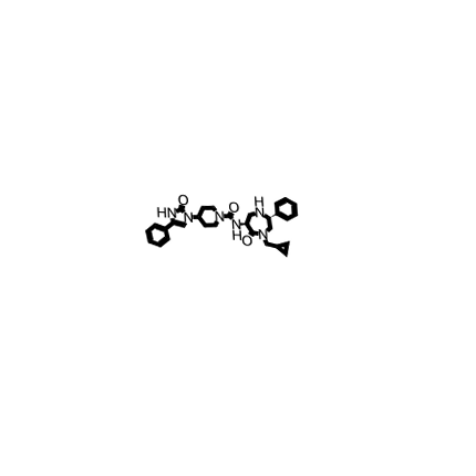 O=C(N[C@H]1CN[C@H](c2ccccc2)CN(CC2CC2)C1=O)N1CCC(n2cc(-c3ccccc3)[nH]c2=O)CC1